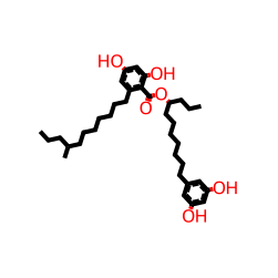 CCCC(C)CCCCCCCc1cc(O)cc(O)c1C(=O)OC(CCC)CCCCCCCc1cc(O)cc(O)c1